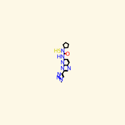 Cn1cc(-c2cnc3ccc(NC(=O)N(S)C4CCCC4)nc3n2)nn1